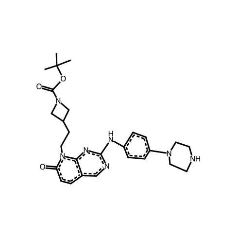 CC(C)(C)OC(=O)N1CC(CCn2c(=O)ccc3cnc(Nc4ccc(N5CCNCC5)cc4)nc32)C1